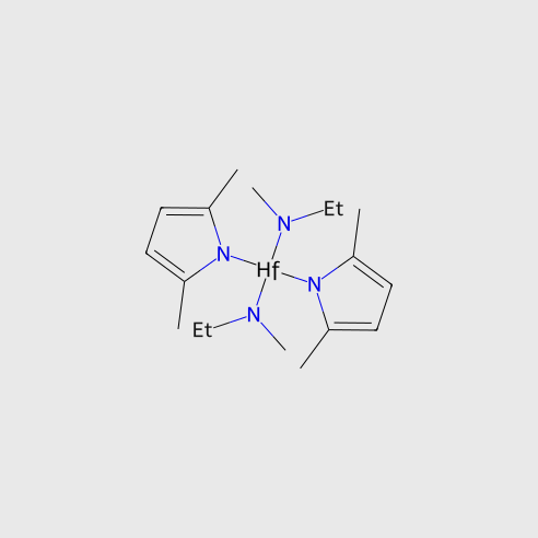 CC[N](C)[Hf]([N](C)CC)([n]1c(C)ccc1C)[n]1c(C)ccc1C